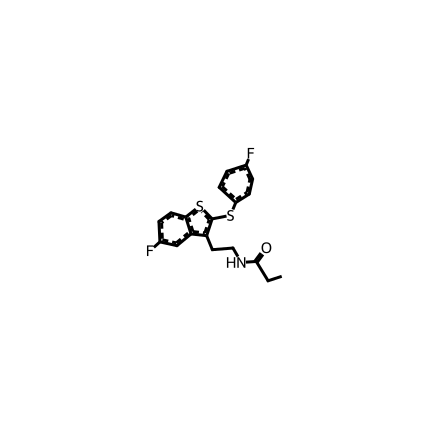 CCC(=O)NCCc1c(Sc2ccc(F)cc2)sc2ccc(F)cc12